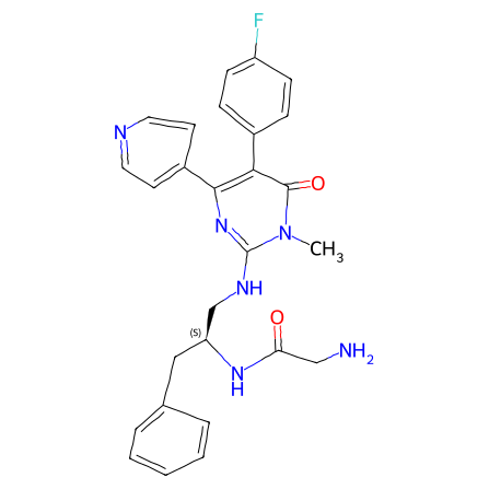 Cn1c(NC[C@H](Cc2ccccc2)NC(=O)CN)nc(-c2ccncc2)c(-c2ccc(F)cc2)c1=O